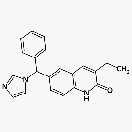 CCc1cc2cc(C(c3ccccc3)n3ccnc3)ccc2[nH]c1=O